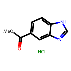 COC(=O)c1ccc2[nH]cnc2c1.Cl